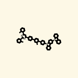 Cc1cc(-c2ccc(-c3cc(-c4ccccc4C)nc(-c4ccccc4C)n3)cc2)ccc1-c1ccc(-n2c3ccccc3c3cc(-n4c5ccccc5c5ccccc54)ccc32)cc1